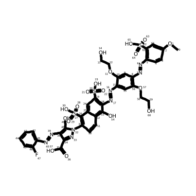 COc1ccc(/N=N/c2cc(OCCO)c(/N=N/c3c(S(=O)(=O)O)cc4c(S(=O)(=O)O)c(-n5nc(C(=O)O)c(/N=N/c6ccccc6F)c5O)ccc4c3O)cc2OCCO)c(S(=O)(=O)O)c1